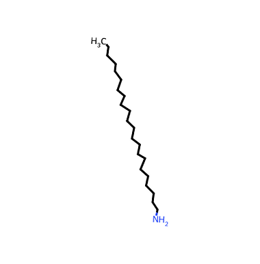 CCCCCCCCCCCCCCCCCCCCCCN